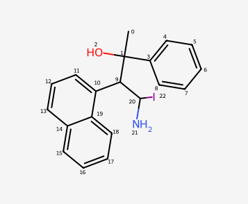 CC(O)(c1ccccc1)C(c1cccc2ccccc12)C(N)I